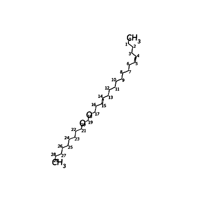 CCCC/C=C\CCCCCCCC/C=C/CCOCOCCCCCCCCC